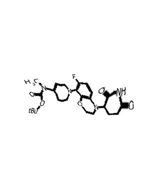 CN(C(=O)OC(C)(C)C)C1CCN(c2c(F)ccc3c2OCCN3C2CCC(=O)NC2=O)CC1